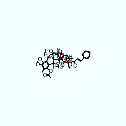 COc1c(C)cc2c(c1O)[C@H]1C3[C@@H]4SC[C@H](NC(=O)C(C)NC(=O)/C=C/c5ccccc5)C(=O)OC[C@@H](c5c6c(c(C)c(OC(C)=O)c54)OCO6)N3[C@@H](O)[C@@H](C2)N1C